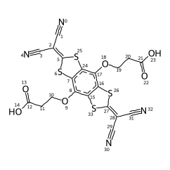 N#CC(C#N)=C1Sc2c(OCCC(=O)O)c3c(c(OCCC(=O)O)c2S1)SC(=C(C#N)C#N)S3